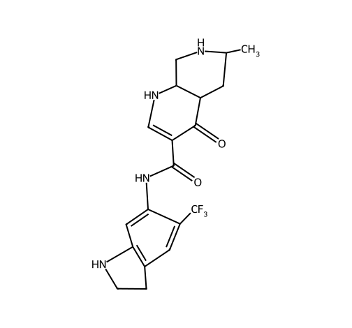 CC1CC2C(=O)C(C(=O)Nc3cc4c(cc3C(F)(F)F)CCN4)=CNC2CN1